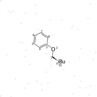 CC[C@H](C)COc1cc[c]cc1